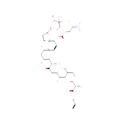 C=CCOC(=O)[C@H](CC)[C@H]1CCC(C)[C@H]([C@@H](C)[C@H](O)[C@H](C)C(=O)[C@H](CC)[C@H]2O[C@]3(C=C[C@@H](OC(=O)NCCN(C)C)[C@]4(CC[C@@](C)([C@H]5CC[C@](O)(CC)[C@H](C)O5)O4)O3)[C@H](C)C[C@@H]2C)O1